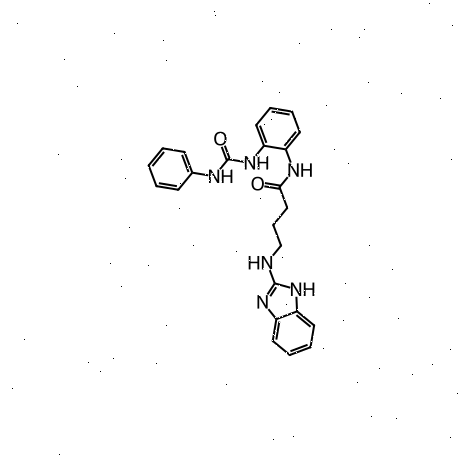 O=C(CCCNc1nc2ccccc2[nH]1)Nc1ccccc1NC(=O)Nc1ccccc1